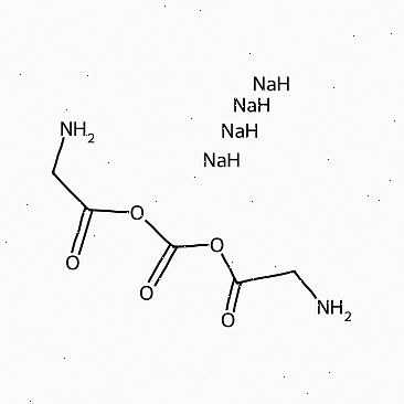 NCC(=O)OC(=O)OC(=O)CN.[NaH].[NaH].[NaH].[NaH]